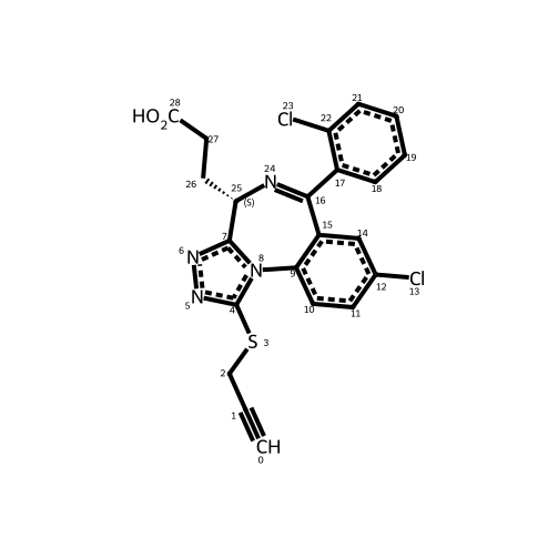 C#CCSc1nnc2n1-c1ccc(Cl)cc1C(c1ccccc1Cl)=N[C@H]2CCC(=O)O